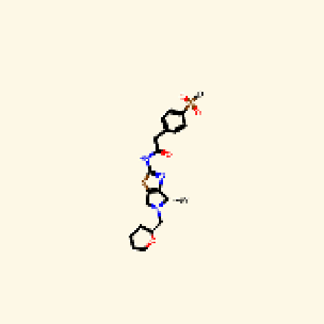 CCS(=O)(=O)c1ccc(CC(=O)Nc2nc3c(s2)CN(C[C@@H]2CCCCO2)[C@H]3C(C)C)cc1